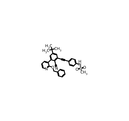 CC(C)(C)c1cc(C#Cc2ccc(NS(C)(=O)=O)cc2)c(C#N)c(-c2cccnc2OCc2ccccc2)c1